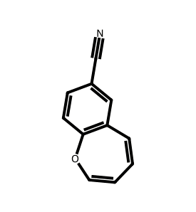 N#Cc1ccc2c(c1)C=CC=CO2